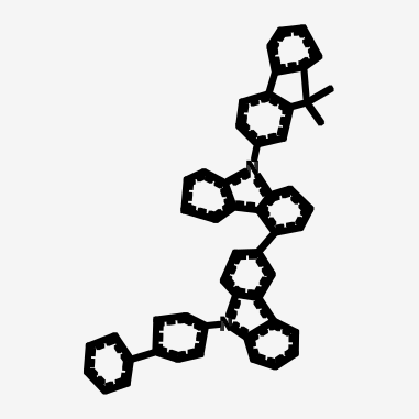 CC1(C)c2ccccc2-c2ccc(-n3c4ccccc4c4c(-c5ccc6c(c5)c5ccccc5n6-c5ccc(-c6ccccc6)cc5)cccc43)cc21